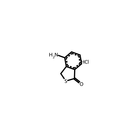 Cl.Nc1cccc2c1CSC2=O